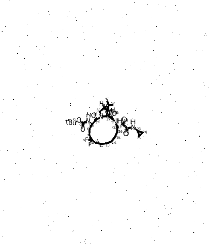 CC(C)(C)OC(=O)N[C@H]1CCC(F)(F)CCCCCC[C@@H](C(=O)C(=O)NC2CC2)NC(=O)[C@@H]2[C@@H]3[C@H](CN2C1=O)C3(C)C